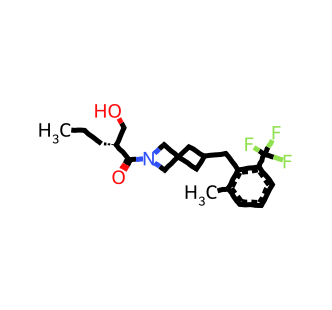 CCC[C@H](CO)C(=O)N1CC2(CC(Cc3c(C)cccc3C(F)(F)F)C2)C1